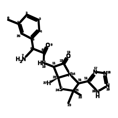 Cc1cccc(C(N)C(=O)NC2C(=O)N3C(c4nnn[nH]4)C(C)(C)S[C@@H]23)c1